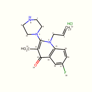 C=CCn1c(N2CCNCC2)c(C(=O)O)c(=O)c2cc(F)ccc21.Cl